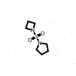 O=S(=O)(N1C[CH]CC1)N1CCC1